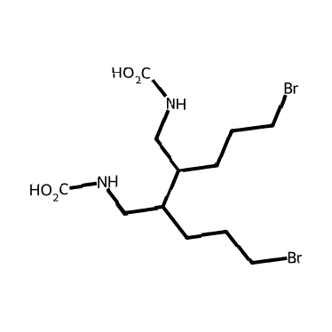 O=C(O)NCC(CCCBr)C(CCCBr)CNC(=O)O